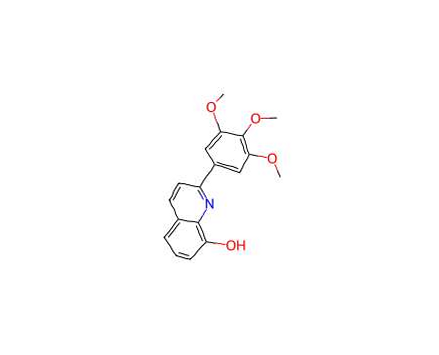 COc1cc(-c2ccc3cccc(O)c3n2)cc(OC)c1OC